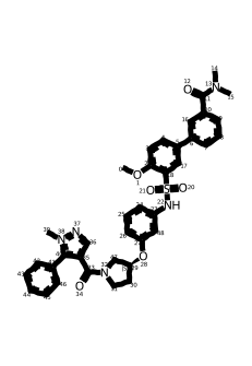 COc1ccc(-c2cccc(C(=O)N(C)C)c2)cc1S(=O)(=O)Nc1cccc(O[C@H]2CCN(C(=O)c3cnn(C)c3-c3ccccc3)C2)c1